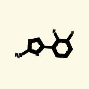 Nc1nc(-c2cccc(F)c2F)cs1